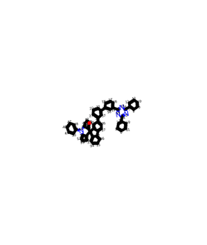 c1ccc(-c2nc(-c3ccccc3)nc(-c3cccc(-c4cccc(-c5ccc6c(c5)C5(c7ccccc7-6)c6ccccc6N(c6ccccc6)c6ccccc65)c4)c3)n2)cc1